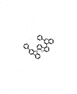 c1ccc(-c2ccc3c4ccccc4n(-c4cccc5c4oc4cccc(-c6cc(-c7ccccc7)nc7ccccc67)c45)c3c2)cc1